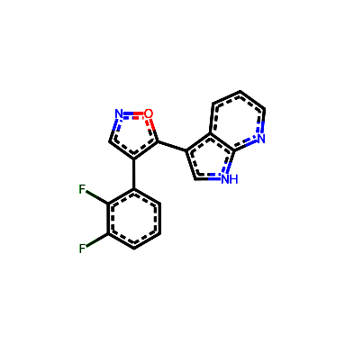 Fc1cccc(-c2cnoc2-c2c[nH]c3ncccc23)c1F